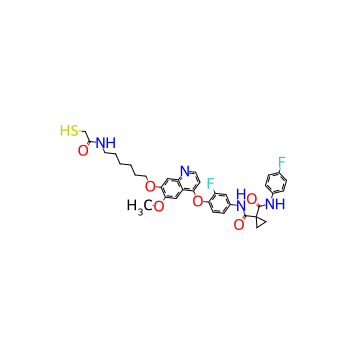 COc1cc2c(Oc3ccc(NC(=O)C4(C(=O)Nc5ccc(F)cc5)CC4)cc3F)ccnc2cc1OCCCCCCNC(=O)CS